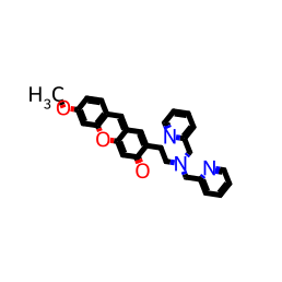 COc1ccc2cc3cc(CCN(Cc4ccccn4)Cc4ccccn4)c(=O)cc-3oc2c1